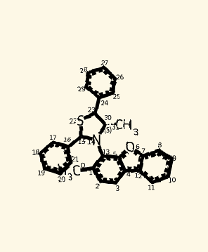 Cc1ccc2c(oc3ccccc32)c1N1C(c2ccccc2)SC(c2ccccc2)[C@@H]1C